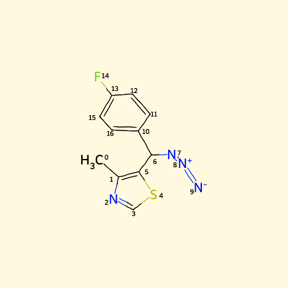 Cc1ncsc1C(N=[N+]=[N-])c1ccc(F)cc1